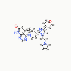 O=C1CC(C(F)(F)F)c2c(ncnc2N2CCC(c3nc(C4CCOCC4)cn3CCN3CCCC3)CC2)N1